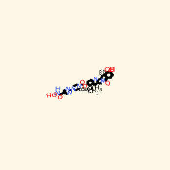 CC[C@@]1(O)C(=O)CCc2c1cc1n(c2=O)Cc2cc3c([Si](C)(C)C(C)(C)C)c(OC(=O)N4CCN(c5ncc(C(=O)NO)cn5)CC4)ccc3nc2-1